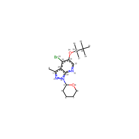 Cc1nn(C2CCCCO2)c2ncc(O[Si](C)(C)C(C)(C)C)c(Br)c12